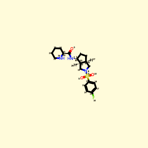 O=C(N[C@@H]1CC[C@H]2CN(S(=O)(=O)c3ccc(F)cc3)C[C@H]21)[C@@H]1CCCCN1